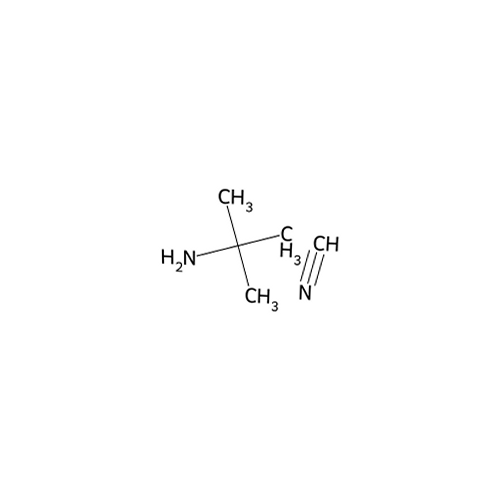 C#N.CC(C)(C)N